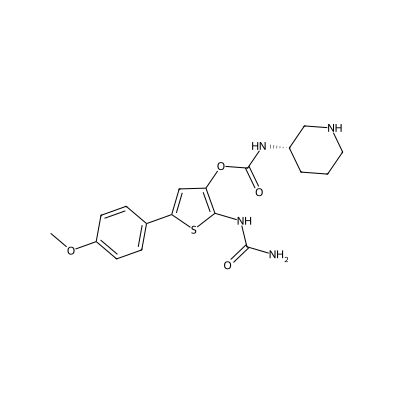 COc1ccc(-c2cc(OC(=O)N[C@H]3CCCNC3)c(NC(N)=O)s2)cc1